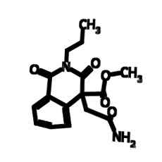 CCCN1C(=O)c2ccccc2C(CC(N)=O)(C(=O)OC)C1=O